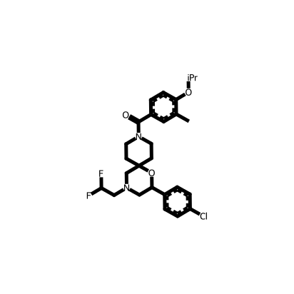 Cc1cc(C(=O)N2CCC3(CC2)CN(CC(F)F)CC(c2ccc(Cl)cc2)O3)ccc1OC(C)C